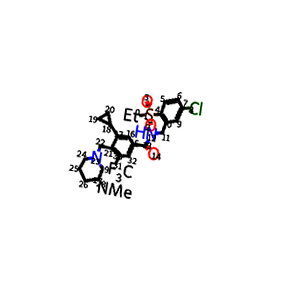 CCS(=O)(=O)c1ccc(Cl)cc1CNC(=O)c1cc(C2CC2)c(CN2CCC[C@H](NC)C2)c(C(F)(F)F)c1